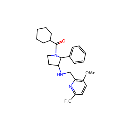 COc1ccc(C(F)(F)F)nc1CNC1CCN(C(=O)C2CCCCC2)C1c1ccccc1